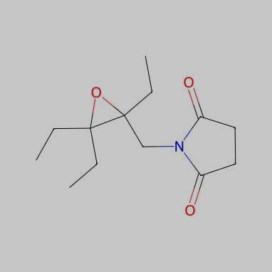 CCC1(CC)OC1(CC)CN1C(=O)CCC1=O